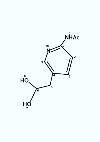 CC(=O)Nc1ccc(CC(O)O)cn1